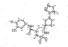 CN1[C@@H](C(=O)Nc2ccc(F)c(Cl)c2)C[C@@H](c2cc(-c3nncn3C)cs2)NS1(=O)=O